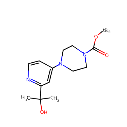 CC(C)(C)OC(=O)N1CCN(c2ccnc(C(C)(C)O)c2)CC1